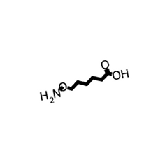 NOCCCCCC(=O)O